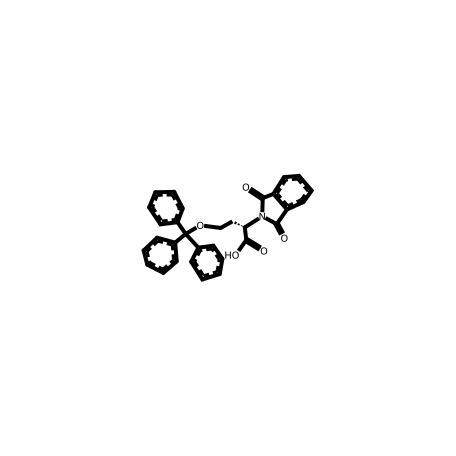 O=C(O)[C@H](CCOC(c1ccccc1)(c1ccccc1)c1ccccc1)N1C(=O)c2ccccc2C1=O